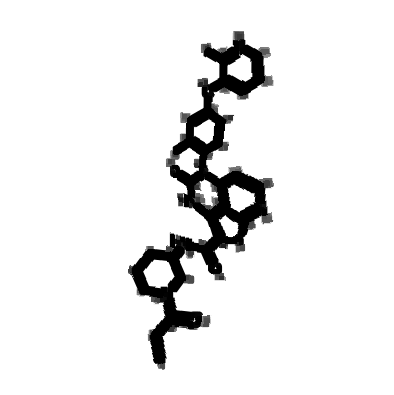 C=CC(=O)N1CCCC(NC(=O)c2sc3nccc4c3c2NC(=O)N4c2ccc(Oc3cccnc3C)cc2C)C1